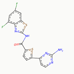 Nc1nccc(-c2ccc(C(=O)Nc3nc4c(F)cc(F)cc4s3)s2)n1